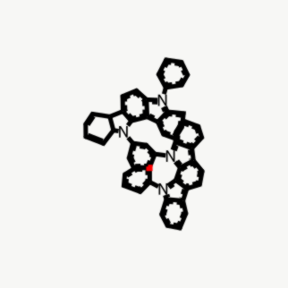 C1=CC2c3ccc4c(c3N(c3cccc(-n5c6ccccc6c6ccc7c8ccccc8n(-c8ccccc8)c7c65)c3)C2C=C1)c1ccccc1n4-c1ccccc1